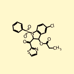 CCC(=O)OC1c2cc(Cl)ccc2N(S(=O)(=O)c2ccccc2)C1C(=O)c1nccs1